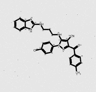 Cc1ccc(C(=O)c2nn(-c3ccc(Cl)cc3)c(NCCCNc3nc4ccccc4[nH]3)c2C#N)cc1